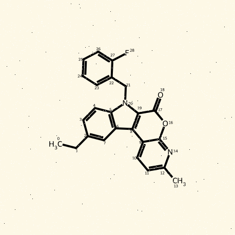 CCc1ccc2c(c1)c1c3ccc(C)nc3oc(=O)c1n2Cc1ccccc1F